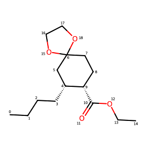 CCCC[C@@H]1CC2(CC[C@@H]1C(=O)OCC)OCCO2